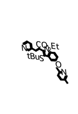 CCOC(=O)C(Cc1cccnc1)c1c(SC(C)(C)C)c2cc(OCc3ccc(C)cn3)ccc2n1C